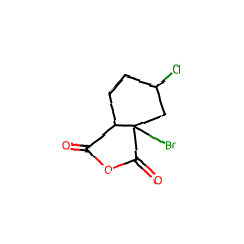 O=C1OC(=O)C2(Br)CC(Cl)CCC12